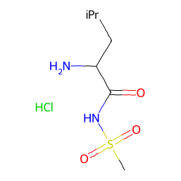 CC(C)CC(N)C(=O)NS(C)(=O)=O.Cl